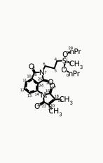 CCCO[Si](C)(CCCN1C(=O)c2cccc(N3C(=O)C(C)=C(C)C3=O)c2C1=O)OCCC